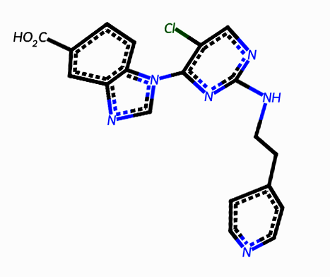 O=C(O)c1ccc2c(c1)ncn2-c1nc(NCCc2ccncc2)ncc1Cl